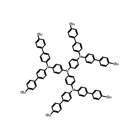 CC(C)(C)c1ccc(-c2ccc(N(c3ccc(-c4ccc(C(C)(C)C)cc4)cc3)c3ccc(N(c4ccc(N(c5ccc(-c6ccc(C(C)(C)C)cc6)cc5)c5ccc(-c6ccc(C(C)(C)C)cc6)cc5)cc4)c4ccc(N(c5ccc(-c6ccc(C(C)(C)C)cc6)cc5)c5ccc(-c6ccc(C(C)(C)C)cc6)cc5)cc4)cc3)cc2)cc1